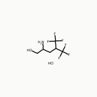 Cl.NC(CO)CC(C(F)(F)F)C(F)(F)F